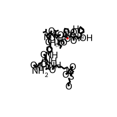 CC[C@H](C)[C@@H]([C@@H](CC(=O)N1CCC[C@H]1C(OC)[C@@H](C)C(=O)N[C@H](C)[C@@H](O)c1ccccc1)OC)N(C)C(=O)[C@@H](NC(=O)[C@H](C(C)C)N(C)C(=O)OCc1ccc(NC(=O)[C@H](CCCNC(N)=O)NC(=O)C(NC(=O)CCCCCN2C(=O)CC(SCCC=O)C2=O)C(C)C)cc1)C(C)C